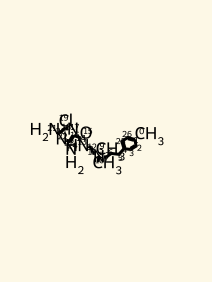 Cc1ccc(CCC[N+](C)(C)CCNC(=O)c2nc(Cl)c(N)nc2N)cc1